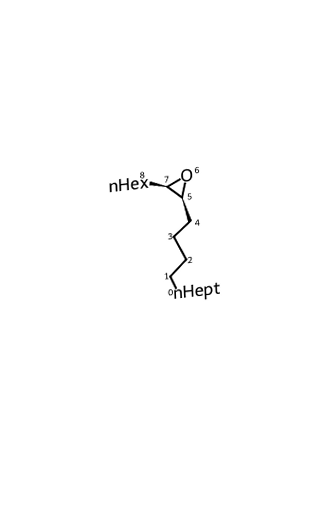 CCCCCCCCCCC[C@@H]1O[C@@H]1CCCCCC